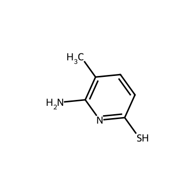 Cc1ccc(S)nc1N